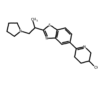 CC1CCC(c2ccc3sc(C(C)CN4CCCC4)nc3c2)=NC1